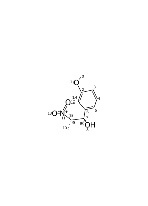 COc1cccc([C@@H](O)[C@H](C)[N+](=O)[O-])c1